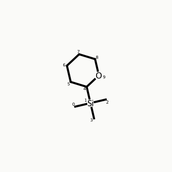 C[Si](C)(C)C1CCCCO1